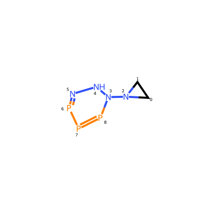 C1CN1N1NN=PP=P1